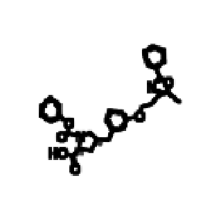 Cc1oc(-c2ccccc2)nc1CCOc1cccc(C[C@H]2C[C@@H](C(=O)O)N(C(=O)Oc3ccccc3)C2)c1